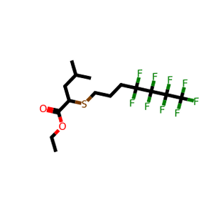 CCOC(=O)C(CC(C)C)SCCCC(F)(F)C(F)(F)C(F)(F)C(F)(F)F